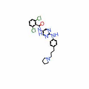 O=C(Nc1cnc(Nc2ccc(CCCN3CCCC3)cc2)nc1)c1c(Cl)cccc1Cl